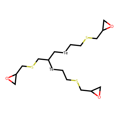 C(C[Te]CC(CSCC1CO1)[Te]CCSCC1CO1)SCC1CO1